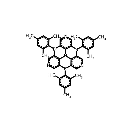 Cc1cc(C)c(B2c3cncc4c3N3c5c2cncc5B(c2c(C)cc(C)cc2C)c2cncc(c23)B4c2c(C)cc(C)cc2C)c(C)c1